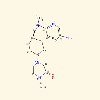 CN1CCN([C@H]2CC[C@H](CN(C)c3ccc(I)cn3)CC2)CC1=O